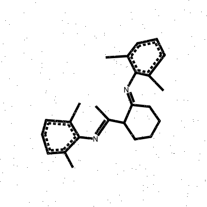 CC(=Nc1c(C)cccc1C)C1CCCCC1=Nc1c(C)cccc1C